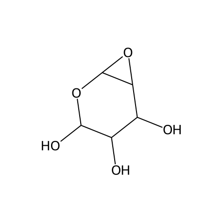 OC1OC2OC2C(O)C1O